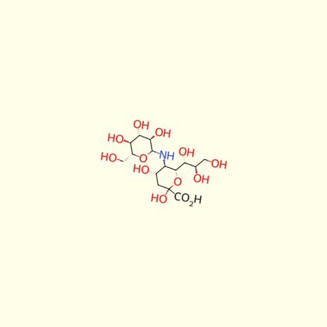 O=C(O)C1(O)C[C@H](O)[C@@H](NC2O[C@H](CO)[C@@H](O)[C@H](O)[C@H]2O)[C@H]([C@H](O)[C@H](O)CO)O1